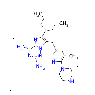 CCCC(CCC)c1nc2c(N)nc(N)nn2c1Cc1cnc(N2CCNCC2)c(C)c1